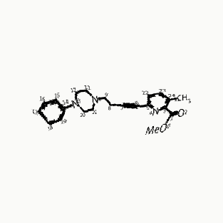 COC(=O)c1nc(C#CCCN2CCN(c3ccccc3)CC2)ccc1C